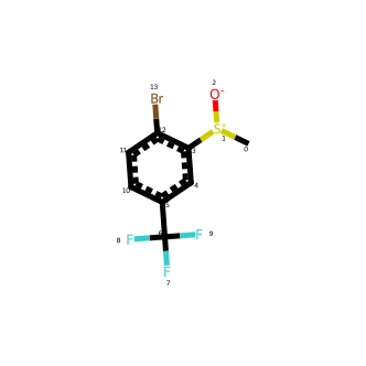 C[S+]([O-])c1cc(C(F)(F)F)ccc1Br